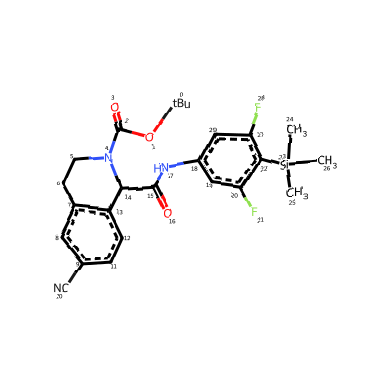 CC(C)(C)OC(=O)N1CCc2cc(C#N)ccc2C1C(=O)Nc1cc(F)c([Si](C)(C)C)c(F)c1